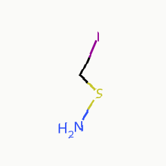 NSCI